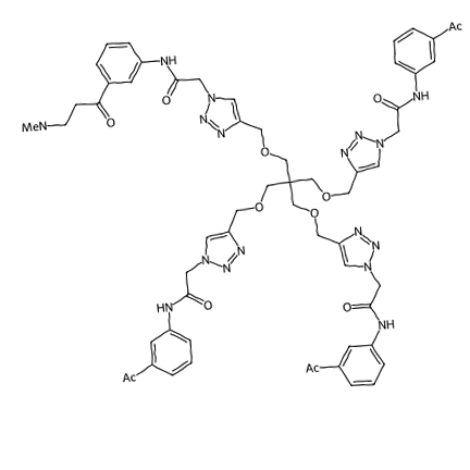 CNCCC(=O)c1cccc(NC(=O)Cn2cc(COCC(COCc3cn(CC(=O)Nc4cccc(C(C)=O)c4)nn3)(COCc3cn(CC(=O)Nc4cccc(C(C)=O)c4)nn3)COCc3cn(CC(=O)Nc4cccc(C(C)=O)c4)nn3)nn2)c1